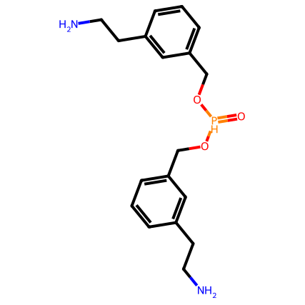 NCCc1cccc(CO[PH](=O)OCc2cccc(CCN)c2)c1